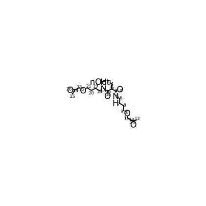 CCCCCCCCC=C(C(=O)NCCCCOCC1CO1)C(=O)NCCCCOCC1CO1